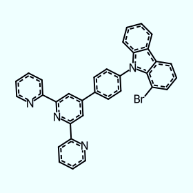 Brc1cccc2c3ccccc3n(-c3ccc(-c4cc(-c5ccccn5)nc(-c5ccccn5)c4)cc3)c12